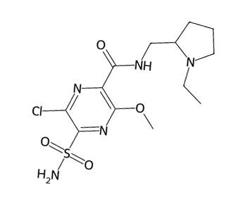 CCN1CCCC1CNC(=O)c1nc(Cl)c(S(N)(=O)=O)nc1OC